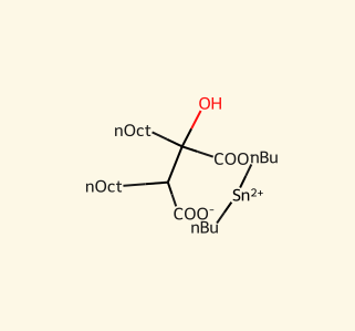 CCCCCCCCC(C(=O)[O-])C(O)(CCCCCCCC)C(=O)[O-].CCC[CH2][Sn+2][CH2]CCC